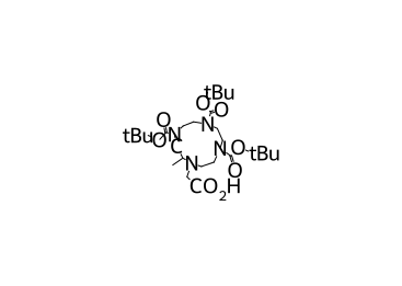 CC1CN(C(=O)OC(C)(C)C)CCN(C(=O)OC(C)(C)C)CCN(C(=O)OC(C)(C)C)CCN1CC(=O)O